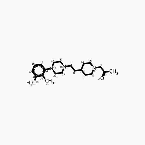 CC(=O)CN1CCC(CCN2CCN(c3cccc(C)c3C)CC2)CC1